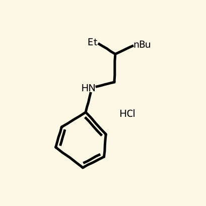 CCCCC(CC)CNc1ccccc1.Cl